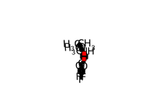 CC(C)(C)OC(=O)NC12CCC(COS(=O)(=O)c3ccc(C(F)(F)F)cc3)(CC1)CC2